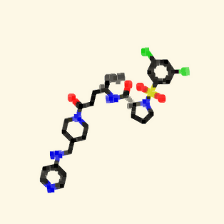 O=C(O)[C@H](CCC(=O)N1CCC(CNc2ccncc2)CC1)NC(=O)[C@H]1CCCN1S(=O)(=O)c1cc(Cl)cc(Cl)c1